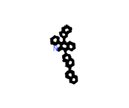 c1ccc2cc(-c3ccc4cc(-c5c6ccccc6c(-c6ccc7ccccc7c6)c6c5cnc5ccccc56)ccc4c3)ccc2c1